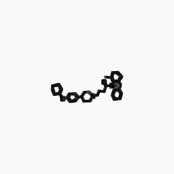 Cc1cccc(Cc2ccccc2)c1NC(=O)CCCN1CCC(c2ccc(Oc3ccccc3)cc2)CC1